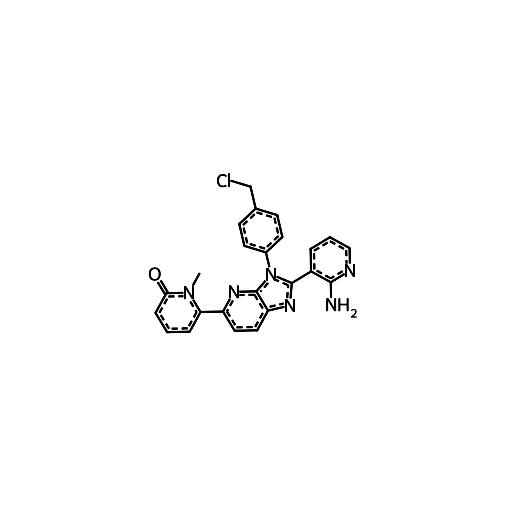 Cn1c(-c2ccc3nc(-c4cccnc4N)n(-c4ccc(CCl)cc4)c3n2)cccc1=O